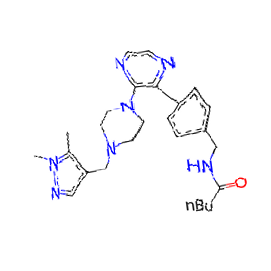 CCCCC(=O)NCc1ccc(-c2nccnc2N2CCN(Cc3cnn(C)c3C)CC2)cc1